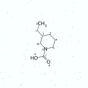 CCC1CCCN(C(=O)O)C1